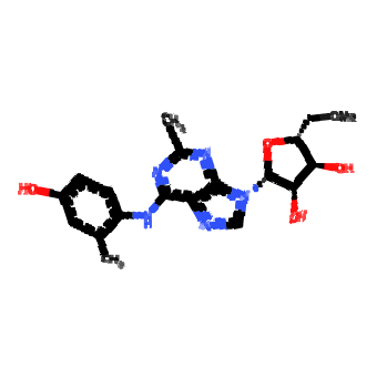 COC[C@H]1O[C@@H](n2cnc3c(Nc4ccc(O)cc4C)nc(C)nc32)[C@H](O)[C@@H]1O